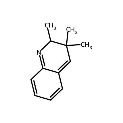 CC1N=c2ccccc2=CC1(C)C